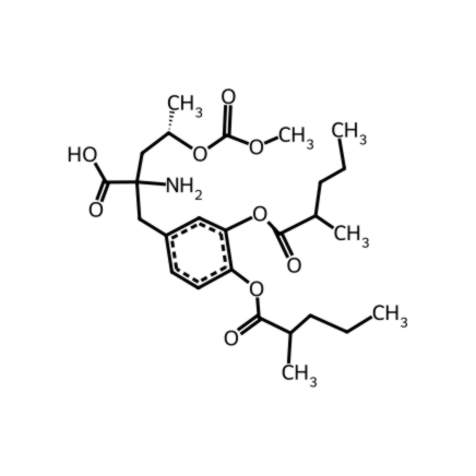 CCCC(C)C(=O)Oc1ccc(CC(N)(C[C@H](C)OC(=O)OC)C(=O)O)cc1OC(=O)C(C)CCC